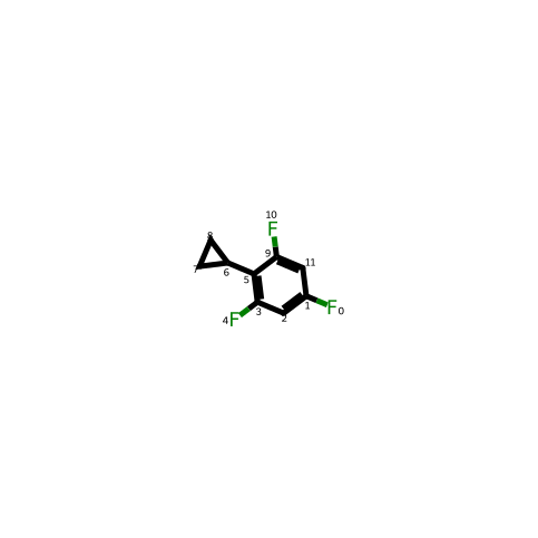 Fc1cc(F)c(C2CC2)c(F)c1